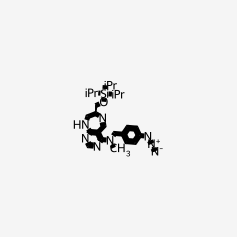 CC(C)[Si](OC[C@@H]1CNc2ncnc(N(C)Cc3ccc(N=[N+]=[N-])cc3)c2C=N1)(C(C)C)C(C)C